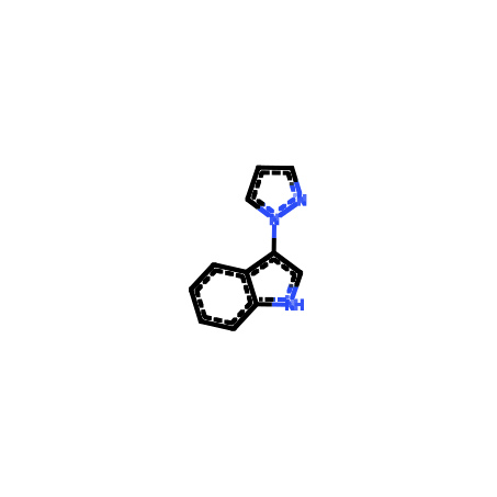 c1ccc2c(-n3cccn3)c[nH]c2c1